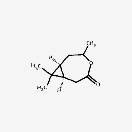 CC1C[C@H]2[C@@H](CC(=O)O1)C2(C)C